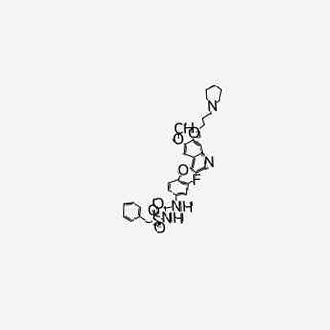 COc1cc2c(Oc3ccc(NC(=O)NS(=O)(=O)Cc4ccccc4)cc3F)ccnc2cc1OCCCN1CCCCC1